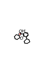 O=C(O)c1cccc(C2CCCCC2)c1OC1CCCCC1